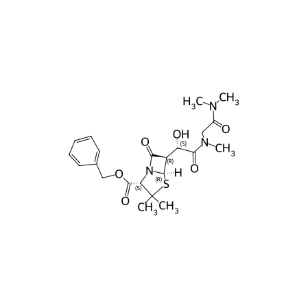 CN(C)C(=O)CN(C)C(=O)[C@@H](O)[C@@H]1C(=O)N2[C@@H]1SC(C)(C)[C@@H]2C(=O)OCc1ccccc1